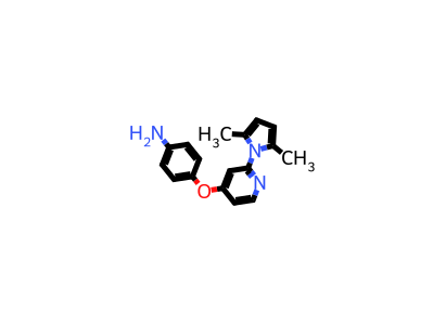 Cc1ccc(C)n1-c1cc(Oc2ccc(N)cc2)ccn1